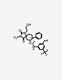 C[C@@H](OC[C@@]1(c2ccccc2)CCC2(CN1)C(=O)N(P)C(=O)N2CCO)c1cc(CF)cc(C(F)(F)F)c1